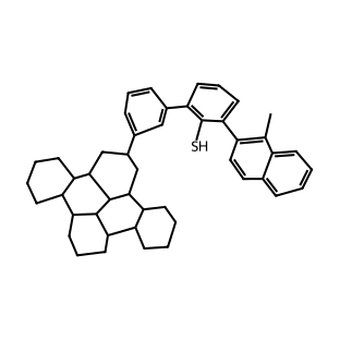 Cc1c(-c2cccc(-c3cccc(C4CC5C6CCCCC6C6CCCC7C8CCCCC8C(C4)C5C67)c3)c2S)ccc2ccccc12